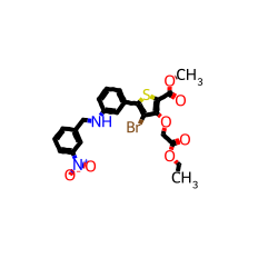 CCOC(=O)COc1c(C(=O)OC)sc(-c2cccc(NCc3cccc([N+](=O)[O-])c3)c2)c1Br